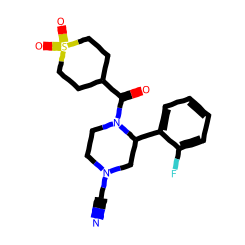 N#CN1CCN(C(=O)C2CCS(=O)(=O)CC2)C(c2ccccc2F)C1